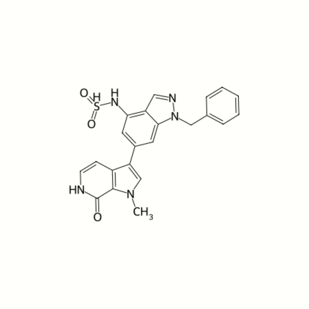 Cn1cc(-c2cc(N[SH](=O)=O)c3cnn(Cc4ccccc4)c3c2)c2cc[nH]c(=O)c21